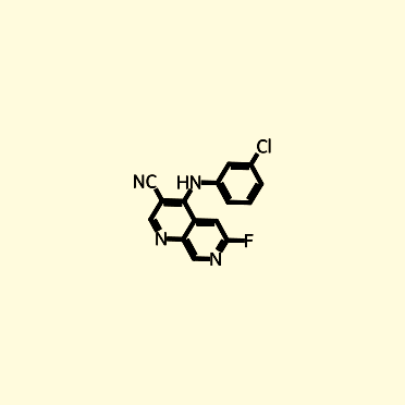 N#Cc1cnc2cnc(F)cc2c1Nc1cccc(Cl)c1